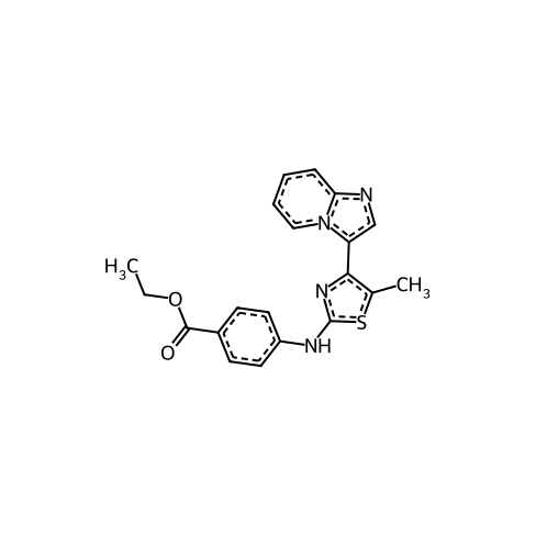 CCOC(=O)c1ccc(Nc2nc(-c3cnc4ccccn34)c(C)s2)cc1